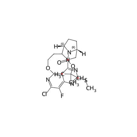 CSc1nc2c3c(nc(Cl)c(F)c3n1)OCCC1[C@@H]3CC[C@H](CN21)N3C(=O)OC(C)(C)C